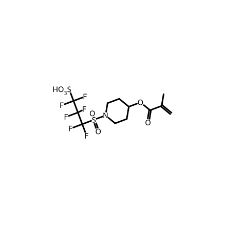 C=C(C)C(=O)OC1CCN(S(=O)(=O)C(F)(F)C(F)(F)C(F)(F)S(=O)(=O)O)CC1